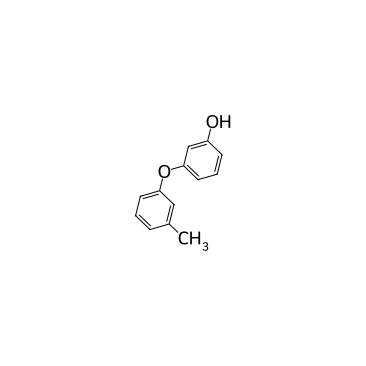 Cc1cccc(Oc2cccc(O)c2)c1